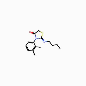 CCCC/N=C1\SCC(=O)N1c1cccc(C)c1C